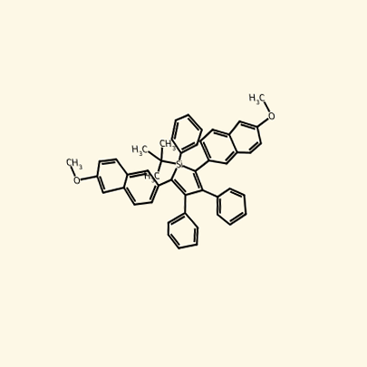 COc1ccc2cc(C3=C(c4ccccc4)C(c4ccccc4)=C(c4ccc5cc(OC)ccc5c4)[Si]3(c3ccccc3)C(C)(C)C)ccc2c1